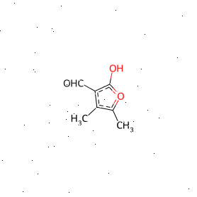 Cc1oc(O)c(C=O)c1C